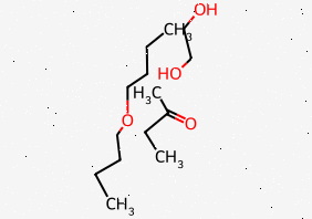 CCC(C)=O.CCCCOCCCC.OCCO